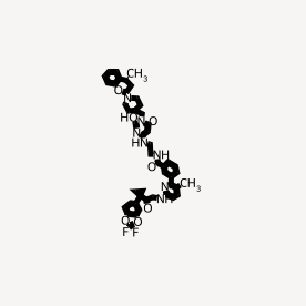 Cc1ccc(NCC(=O)C2(c3ccc4c(c3)OC(F)(F)O4)CC2)nc1-c1cccc(C(=O)NCCNc2cc(=O)n(CC3(O)CCN(C(=O)C[C@@H](C)c4ccccc4)CC3)cn2)c1